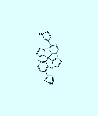 Fc1ccc(-c2cc[nH]c2)c(F)[c]1[Ti]([C]1=CC=CC1)([C]1=CC=CC1)[c]1c(F)ccc(-c2cc[nH]c2)c1F